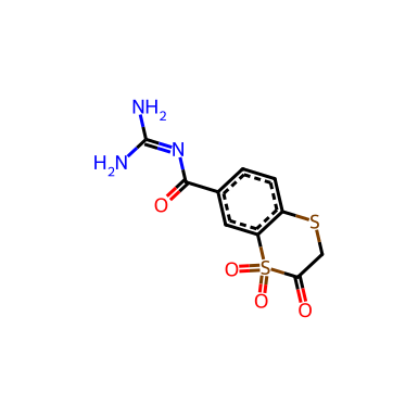 NC(N)=NC(=O)c1ccc2c(c1)S(=O)(=O)C(=O)CS2